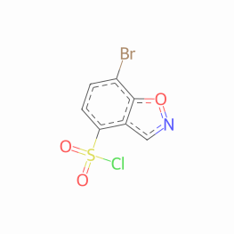 O=S(=O)(Cl)c1ccc(Br)c2oncc12